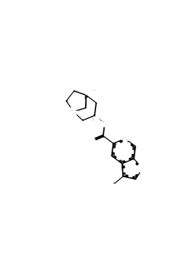 O=C(N[C@@H]1C[C@@H]2CCN(C2)C1)c1cc2c(Cl)coc2cn1